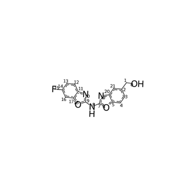 OCc1ccc2oc(Nc3nc4ccc(F)cc4o3)nc2c1